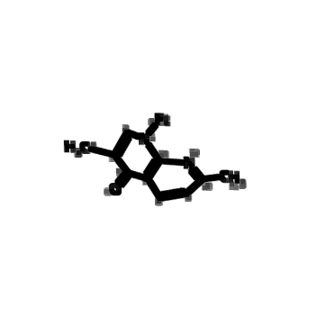 CCn1cc(C)c(=O)c2ccc(C)nc21